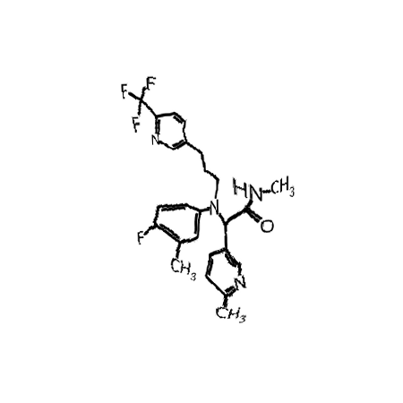 CNC(=O)C(c1ccc(C)nc1)N(CCCc1ccc(C(F)(F)F)nc1)c1ccc(F)c(C)c1